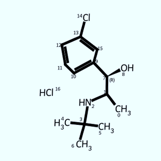 CC(NC(C)(C)C)[C@H](O)c1cccc(Cl)c1.Cl